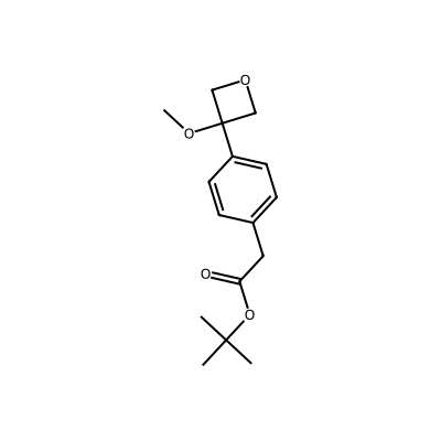 COC1(c2ccc(CC(=O)OC(C)(C)C)cc2)COC1